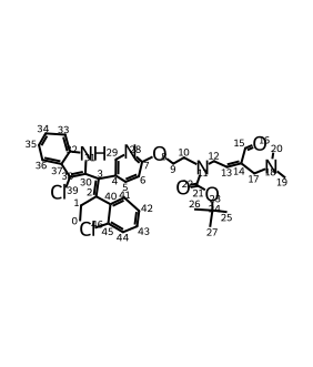 CC/C(=C(/c1ccc(OCCN(C/C=C(\C=O)CN(C)C)C(=O)OC(C)(C)C)nc1)c1[nH]c2ccccc2c1Cl)c1ccccc1Cl